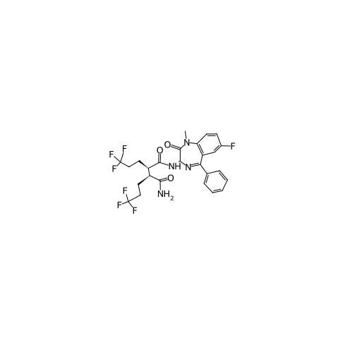 CN1C(=O)[C@@H](NC(=O)[C@H](CCC(F)(F)F)[C@H](CCC(F)(F)F)C(N)=O)N=C(c2ccccc2)c2cc(F)ccc21